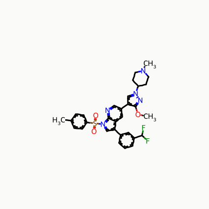 COc1nn(C2CCN(C)CC2)cc1-c1cnc2c(c1)c(-c1cccc(C(F)F)c1)cn2S(=O)(=O)c1ccc(C)cc1